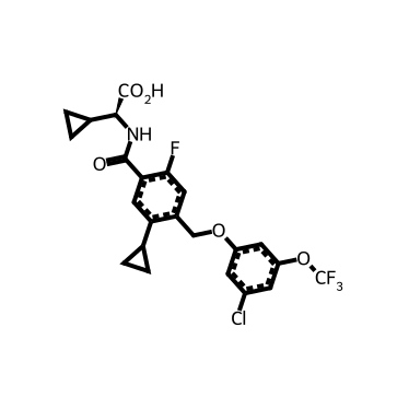 O=C(N[C@H](C(=O)O)C1CC1)c1cc(C2CC2)c(COc2cc(Cl)cc(OC(F)(F)F)c2)cc1F